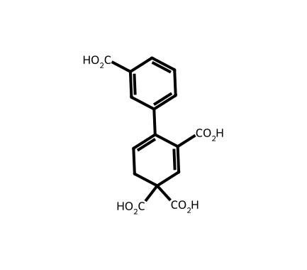 O=C(O)C1=CC(C(=O)O)(C(=O)O)CC=C1c1cccc(C(=O)O)c1